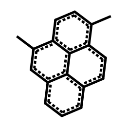 Cc1ccc2c(C)cc3cccc4ccc1c2c43